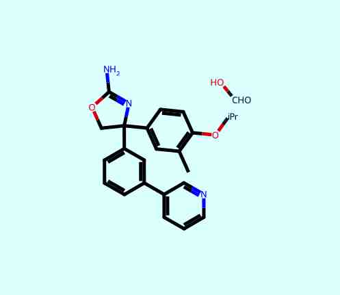 Cc1cc(C2(c3cccc(-c4cccnc4)c3)COC(N)=N2)ccc1OC(C)C.O=CO